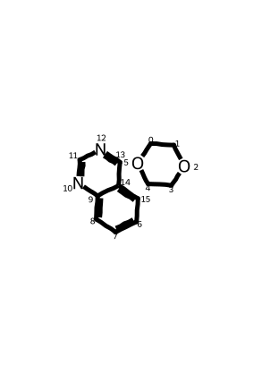 C1COCCO1.c1ccc2ncncc2c1